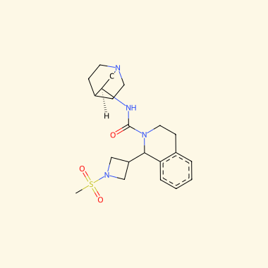 CS(=O)(=O)N1CC(C2c3ccccc3CCN2C(=O)N[C@@H]2CN3CCC2CC3)C1